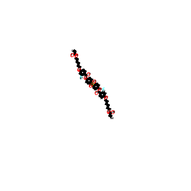 C=CC(=O)OCCCCCCOc1ccc(C(=O)Oc2ccc(S(=O)(=O)c3ccc(OC(=O)c4ccc(OCCCCCCOC(=O)C=C)cc4F)cc3)cc2)c(F)c1